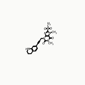 Cn1c(=O)c2c(nc(S(C)(=O)=O)n2C)n(CC#Cc2ccc3c(c2)NCCC3)c1=O